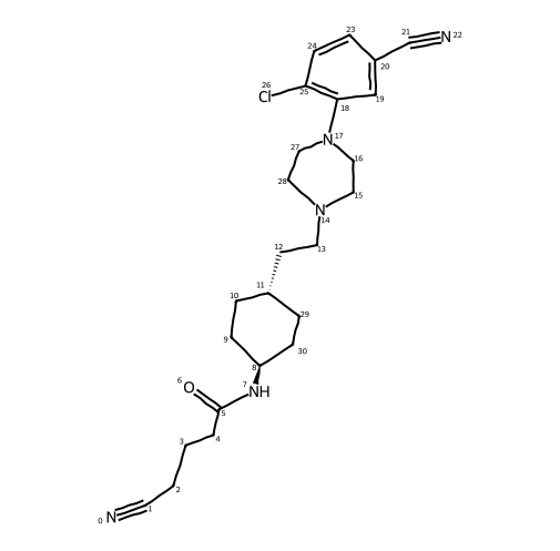 N#CCCCC(=O)N[C@H]1CC[C@H](CCN2CCN(c3cc(C#N)ccc3Cl)CC2)CC1